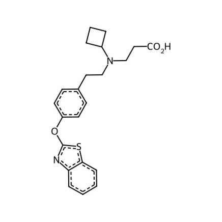 O=C(O)CCN(CCc1ccc(Oc2nc3ccccc3s2)cc1)C1CCC1